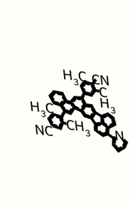 Cc1cc(-c2cc3c4ccccc4c(-c4c(C)cc(C#N)cc4C)cc3c3cc4c(cc23)-c2cccc3c(-c5ccccn5)ccc-4c23)cc(C)c1C#N